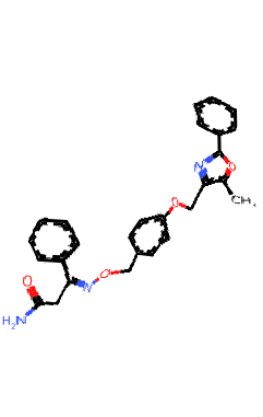 Cc1oc(-c2ccccc2)nc1COc1ccc(CO/N=C(/CC(N)=O)c2ccccc2)cc1